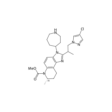 COC(=O)N1c2ccc3c(nc(C(C)Cn4cc(Cl)cn4)n3C3CCCNCC3)c2CC[C@@H]1C